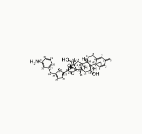 C=C1C=C[C@@]2(C)C(=C1)CC[C@@H]1[C@@H]2[C@@H](O)C[C@@]2(C)[C@H]1C[C@H]1O[C@H](c3ccc(Cc4cccc(N)c4)s3)O[C@]12C(=O)CO